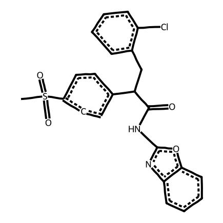 CS(=O)(=O)c1ccc(C(Cc2ccccc2Cl)C(=O)Nc2nc3ccccc3o2)cc1